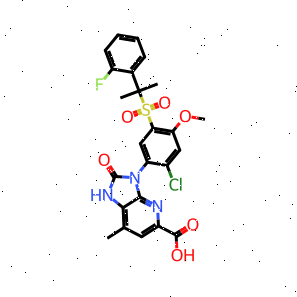 COc1cc(Cl)c(-n2c(=O)[nH]c3c(C)cc(C(=O)O)nc32)cc1S(=O)(=O)C(C)(C)c1ccccc1F